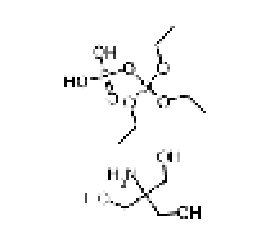 CCO[Si](OCC)(OCC)OP(=O)(O)O.NC(CO)(CO)CO